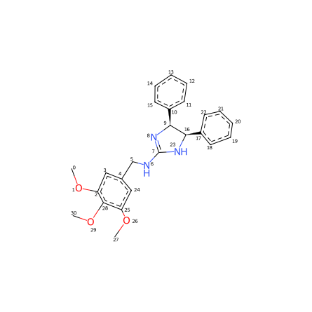 COc1cc(CNC2=N[C@@H](c3ccccc3)[C@@H](c3ccccc3)N2)cc(OC)c1OC